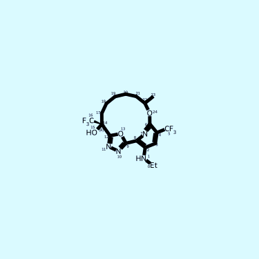 CCNc1cc(C(F)(F)F)c2nc1-c1nnc(o1)[C@@](O)(C(F)(F)F)CCCCCC(C)O2